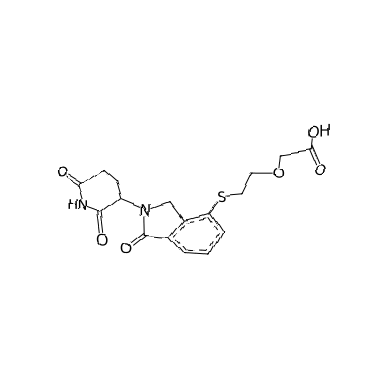 O=C(O)COCCSc1cccc2c1CN(C1CCC(=O)NC1=O)C2=O